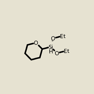 CCO[SiH](OCC)C1CCCCO1